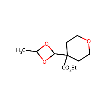 CCOC(=O)C1(C2OC(C)O2)CCOCC1